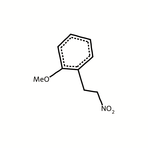 COc1ccccc1CC[N+](=O)[O-]